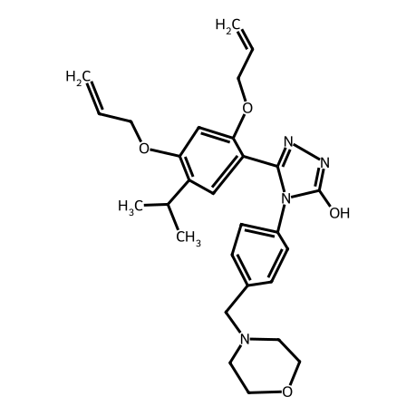 C=CCOc1cc(OCC=C)c(C(C)C)cc1-c1nnc(O)n1-c1ccc(CN2CCOCC2)cc1